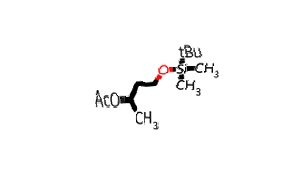 CC(=O)OC(C)CCO[Si](C)(C)C(C)(C)C